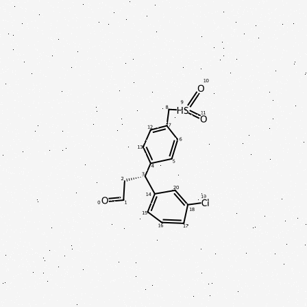 O=CC[C@H](c1ccc(C[SH](=O)=O)cc1)c1cccc(Cl)c1